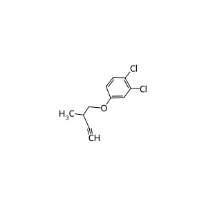 C#CC(C)COc1ccc(Cl)c(Cl)c1